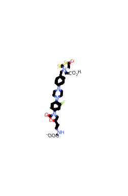 O=C(O)C[N+]1(Cc2ccc(N3CCN(c4ccc(N5CC(CCNC(=O)[O-])OC5=O)cc4F)CC3)cc2)CC(=O)SC1=S